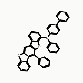 c1ccc(-c2ccc(N(c3ccccc3)c3cccc4c3oc3c(-c5ccccc5)c5c(cc34)oc3ccccc35)cc2)cc1